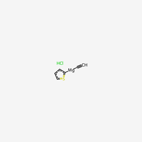 C#[C][Mg][c]1cccs1.Cl